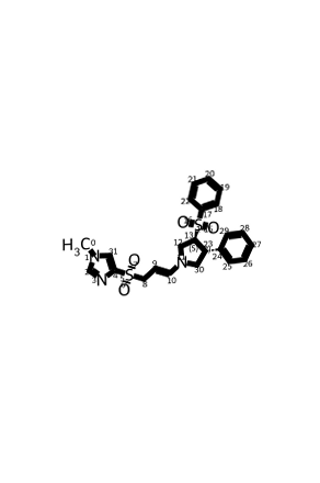 Cn1cnc(S(=O)(=O)CC=CN2C[C@@H](S(=O)(=O)c3ccccc3)[C@H](c3ccccc3)C2)c1